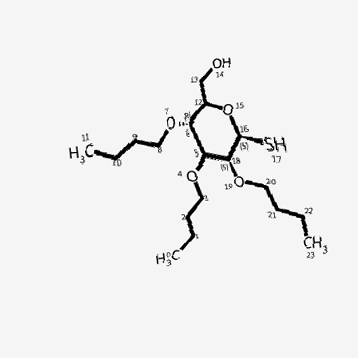 CCCCOC1[C@H](OCCCC)C(CO)O[C@@H](S)[C@H]1OCCCC